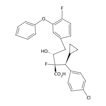 O=C(O)[C@@](F)([C@H](O)Cc1ccc(F)c(Oc2ccccc2)c1)[C@H](c1ccc(Cl)cc1)C1CC1